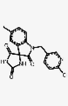 Cc1ccc2c(c1)C1(NC(=O)NC1=O)C(=O)N2Cc1ccc(Cl)nc1